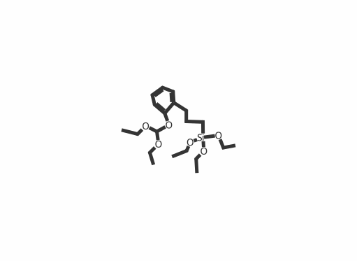 CCOC(OCC)Oc1ccccc1CCC[Si](OCC)(OCC)OCC